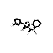 [C-]#[N+]c1cccc(-n2nnn(C(=O)N(CC)C3CCCCC3)c2=O)c1